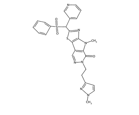 Cn1ccc(CCn2ncc3c4sc(C(c5cccnc5)S(=O)(=O)c5ccccc5)nc4n(C)c3c2=O)n1